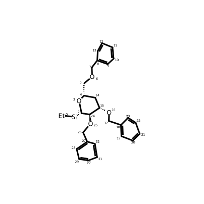 CCS[C@@H]1O[C@H](COCc2ccccc2)C[C@H](OCc2ccccc2)[C@H]1OCc1ccccc1